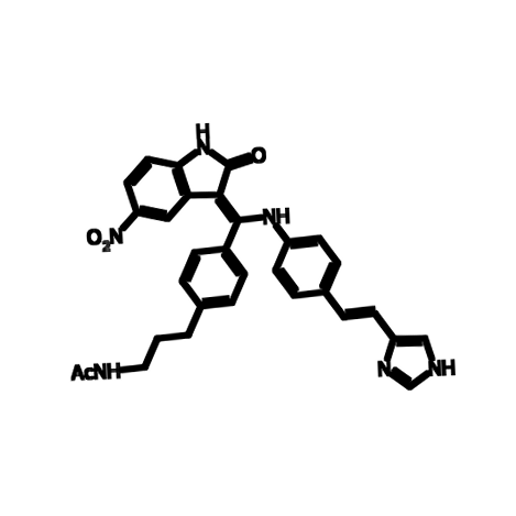 CC(=O)NCCCc1ccc(/C(Nc2ccc(/C=C/c3c[nH]cn3)cc2)=C2/C(=O)Nc3ccc([N+](=O)[O-])cc32)cc1